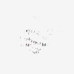 NCCCCC(N)C(=O)C(C(=O)C(N)CC(=O)O)(C(CCN)(C(=O)C(N)CC(=O)O)C(=O)C(N)Cc1ccc(O)cc1)C(C(=O)O)(C(=O)C(N)CC(=O)O)N(C(=O)C(N)CC(=O)O)C(=O)C(N)CC(=O)O